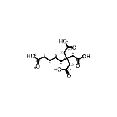 O=C(O)CCCCC(CC(=O)O)(CC(=O)O)CC(=O)O